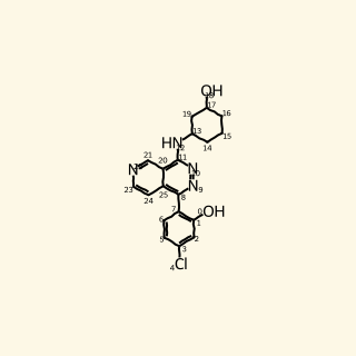 Oc1cc(Cl)ccc1-c1nnc(NC2CCCC(O)C2)c2cnccc12